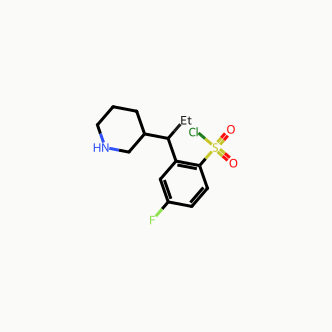 CCC(c1cc(F)ccc1S(=O)(=O)Cl)C1CCCNC1